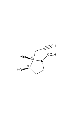 C#CC[C@@]1(C(C)(C)C)[C@H](O)CCN1C(=O)O